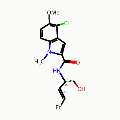 CC/C=C/[C@@H](CO)NC(=O)c1cc2c(Cl)c(OC)ccc2n1C